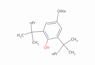 CCCC(C)(C)c1cc(OC)cc(C(C)(C)CCC)c1O